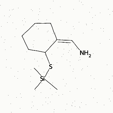 C[Si](C)(C)SC1CCCCC1=CN